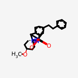 CO[C@H]1CC[C@]2(CC1)Cc1ccc(CCc3ccccc3)cc1C21NC(=O)NC1=O